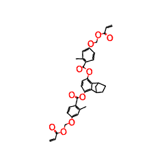 C=CC(=O)OCOc1ccc(C(=O)Oc2ccc(OC(=O)c3ccc(OCOC(=O)C=C)cc3C)c3c2C2CCC3C2)c(C)c1